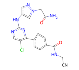 N#CCNC(=O)c1ccc(-c2nc(Nc3cnn(CC(N)=O)c3)ncc2Cl)cc1